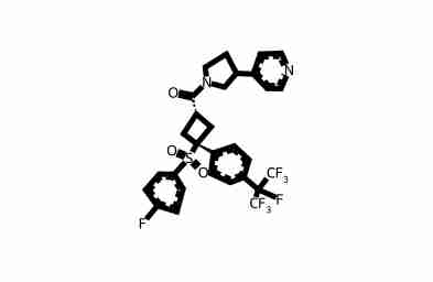 O=C([C@H]1C[C@@](c2ccc(C(F)(C(F)(F)F)C(F)(F)F)cc2)(S(=O)(=O)c2ccc(F)cc2)C1)N1CCC(c2ccncc2)C1